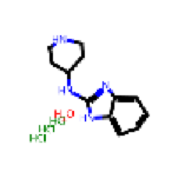 Cl.Cl.Cl.O.c1ccc2[nH]c(NC3CCNCC3)nc2c1